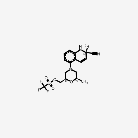 [2H][C@@]1(C#N)C=Cc2c(cccc2N2C[C@H](COS(=O)(=O)C(F)(F)F)O[C@H](C)C2)N1